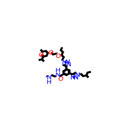 CCCC(CCn1cc(-c2cc(C(=O)NCCNC)cc(-c3cn(CCC(C)CC)nn3)c2)nn1)OCCOC(CCC)CC(=O)C(C)C